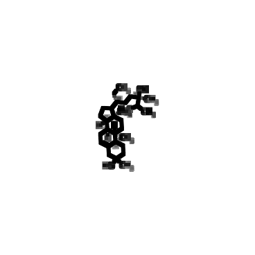 CC[C@H](CC[C@@](C)(O)C(C)C)C1CC[C@H]2[C@@H]3CC=C4C[C@@](C)(O)CC[C@]4(C)[C@H]3CC[C@]12C